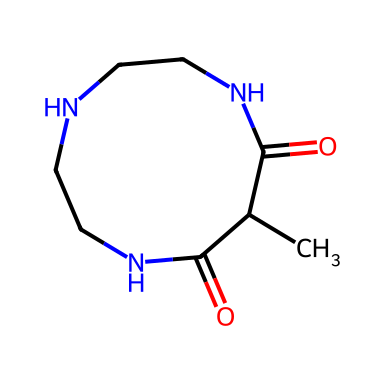 CC1C(=O)NCCNCCNC1=O